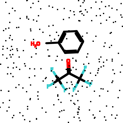 Cc1ccccc1.O.O=C(C(F)(F)F)C(F)(F)F